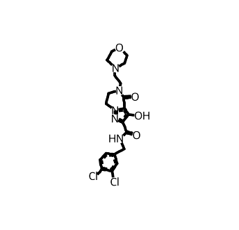 O=C(NCc1ccc(Cl)c(Cl)c1)c1nn2c(c1O)C(=O)N(CCN1CCOCC1)CC2